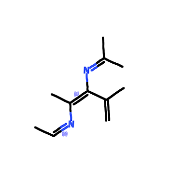 C=C(C)/C(N=C(C)C)=C(C)\N=C/C